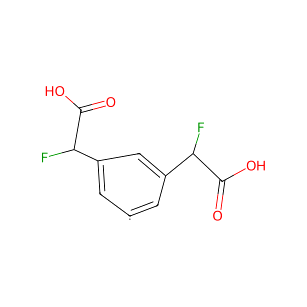 O=C(O)C(F)c1c[c]cc(C(F)C(=O)O)c1